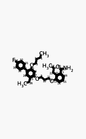 CCCCOc1cc(OCCCOc2cccc(C(N)=O)c2CCC)c(CC)cc1-c1ccc(F)cc1